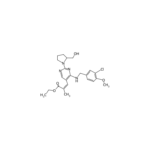 CCOC(=O)C(C)=Cc1cnc(N2CCCC2CO)nc1NCc1ccc(OC)c(Cl)c1